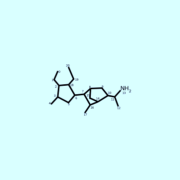 CCC1C(C)CC(C2C3CC(C(C)N)C(C3)C2C)C1CC